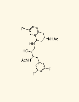 CC(=O)NC1Cc2ccc(C(C)C)cc2C(NCC(O)C(Cc2cc(F)cc(F)c2)NC(C)=O)C1